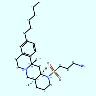 CCCCCCc1ccc2c(c1)CCN1C[C@@H]3CCCN(S(=O)(=O)CCCN)[C@@H]3C[C@@H]21